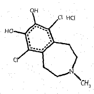 CN1CCc2c(Cl)c(O)c(O)c(Cl)c2CC1.Cl